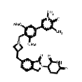 COc1cc(-c2cc(C)c(=O)n(C)c2)cc(OC)c1CN1CC(Cc2ccc3c(c2)C(=O)N(C2CCC(=O)NC2=O)C3)C1